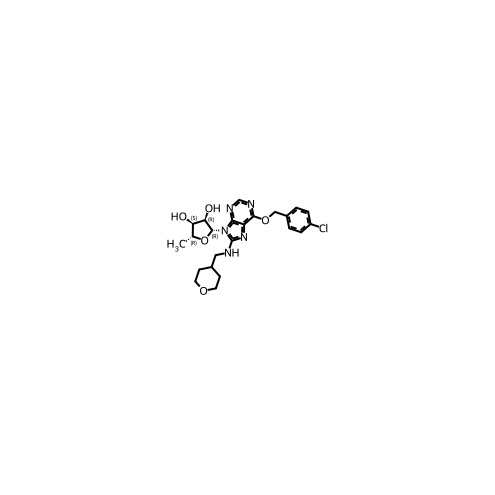 C[C@H]1O[C@@H](n2c(NCC3CCOCC3)nc3c(OCc4ccc(Cl)cc4)ncnc32)[C@H](O)[C@@H]1O